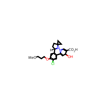 COCCCOc1cc2c(cc1Cl)C1=CC(O)C(C(=O)O)=CN1N1[C@H]2CCC12CC2